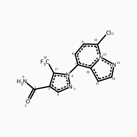 NC(=O)c1cnn(-c2ccc(Cl)n3nccc23)c1C(F)(F)F